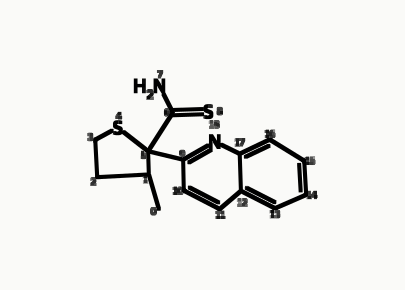 CC1CCSC1(C(N)=S)c1ccc2ccccc2n1